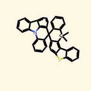 C[Si]1(C)c2ccccc2C2(c3ccccc3-n3c4ccccc4c4cccc2c43)c2ccc3sc4ccccc4c3c21